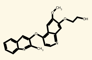 COc1cc2c(Oc3cc4ccccc4nc3C)ccnc2cc1OCCO